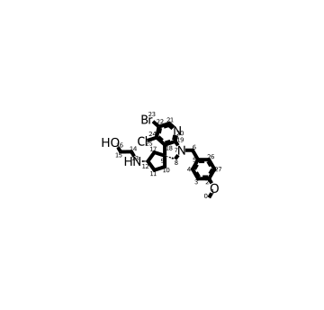 COc1ccc(CN2C[C@@]3(CC[C@H](NCCO)C3)c3c2ncc(Br)c3Cl)cc1